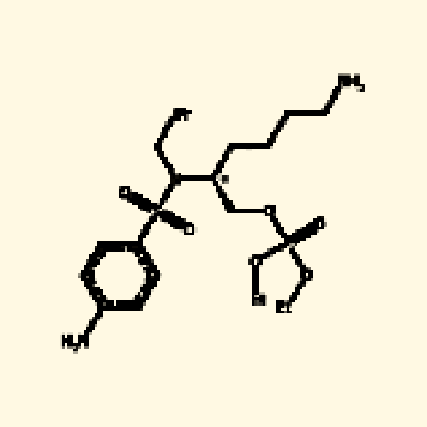 CCOP(=O)(OCC)OC[C@H](CCCCN)N(CC(C)C)S(=O)(=O)c1ccc(N)cc1